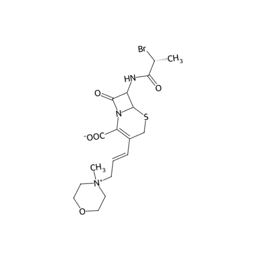 C[C@@H](Br)C(=O)NC1C(=O)N2C(C(=O)[O-])=C(C=CC[N+]3(C)CCOCC3)CSC12